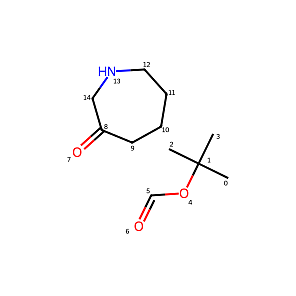 CC(C)(C)OC=O.O=C1CCCCNC1